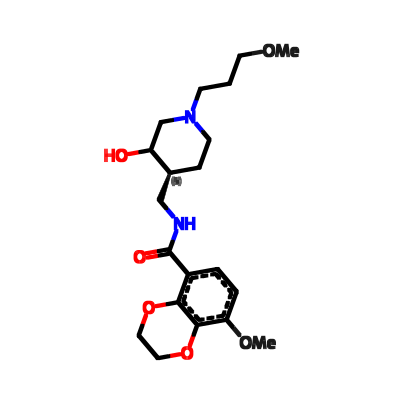 COCCCN1CC[C@@H](CNC(=O)c2ccc(OC)c3c2OCCO3)C(O)C1